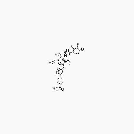 COc1ccc(-c2cn([C@H]3[C@@H](O)[C@@H](CO)O[C@H](CC4CC(C5CCN(C(=O)O)CC5)=NO4)[C@@H]3OC)nn2)c(F)c1F